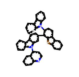 c1ccc2c(-n3c4ccccc4c4ccc(-c5c(-n6c7ccccc7c7ccccc76)ccc6c5sc5ccccc56)cc43)ccnc2c1